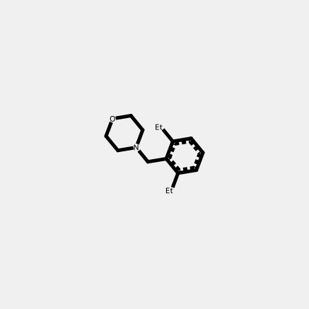 CCc1cccc(CC)c1CN1CCOCC1